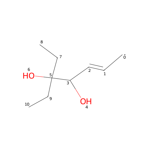 [CH2]C=CC(O)C(O)(CC)CC